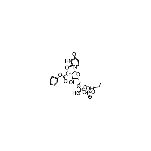 CCCOP(=O)(O)OP(=O)(O)OC[C@H]1O[C@@H](n2ccc(=O)[nH]c2=O)[C@@H](OC(=O)Oc2ccccc2)C1O